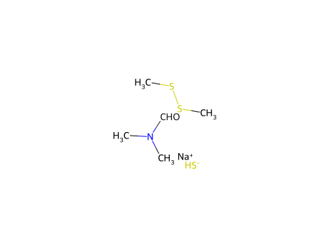 CN(C)C=O.CSSC.[Na+].[SH-]